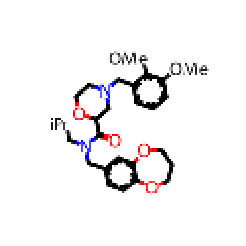 COc1cccc(CN2CCOC(C(=O)N(Cc3ccc4c(c3)OCCCO4)CC(C)C)C2)c1OC